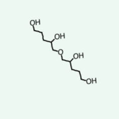 OCCCC(O)COCC(O)CCCO